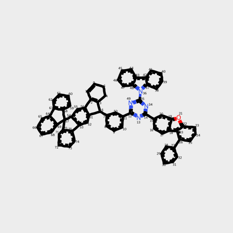 C1=CC2=C(CC1)C(c1cccc(-c3nc(-c4ccc5c(c4)oc4cccc(-c6ccccc6)c45)nc(-n4c5ccccc5c5ccccc54)n3)c1)c1cc3c(cc12)C1(c2ccccc2-c2ccccc21)c1ccccc1-3